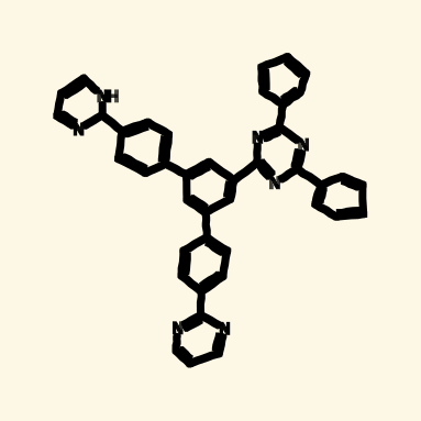 C1=CNC(c2ccc(-c3cc(-c4ccc(-c5ncccn5)cc4)cc(-c4nc(-c5ccccc5)nc(-c5ccccc5)n4)c3)cc2)N=C1